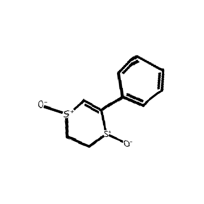 [O-][S+]1C=C(c2ccccc2)[S+]([O-])CC1